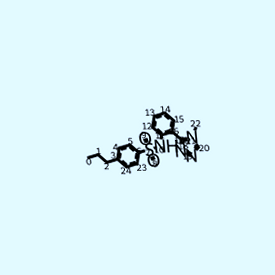 CCCc1ccc(S(=O)(=O)Nc2ccccc2-c2nncn2C)cc1